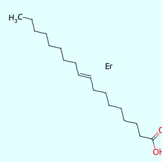 CCCCCCCCC=CCCCCCCCC(=O)O.[Er]